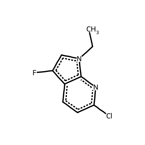 CCn1cc(F)c2ccc(Cl)nc21